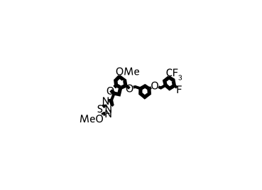 COc1cc(OCc2cccc(OCc3cc(F)cc(C(F)(F)F)c3)c2)c2cc(-c3cn4nc(OC)sc4n3)oc2c1